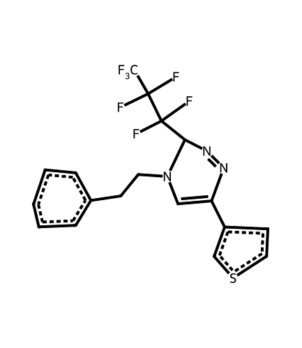 FC(F)(F)C(F)(F)C(F)(F)C1N=NC(c2ccsc2)=CN1CCc1ccccc1